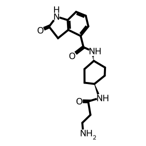 NCCC(=O)N[C@H]1CC[C@H](NC(=O)c2cccc3c2CC(=O)N3)CC1